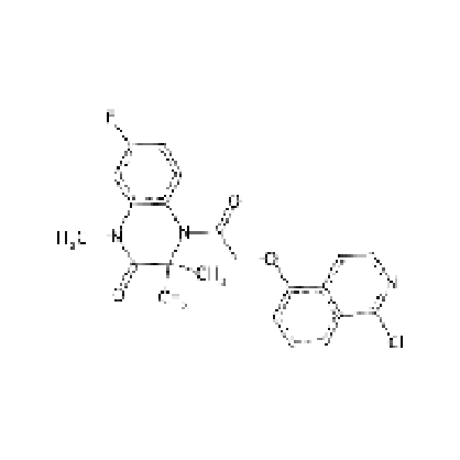 CN1C(=O)C(C)(C)N(C(=O)COc2cccc3c(Cl)nccc23)c2ccc(F)cc21